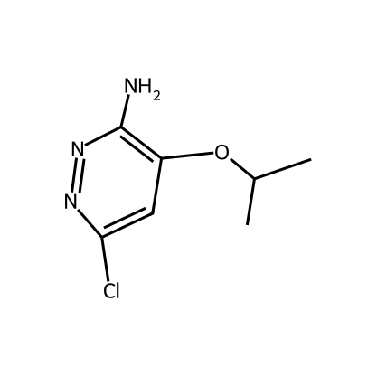 CC(C)Oc1cc(Cl)nnc1N